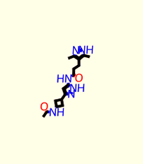 CC(=O)NC1CC(c2cc(NC(=O)CCc3c(C)n[nH]c3C)[nH]n2)C1